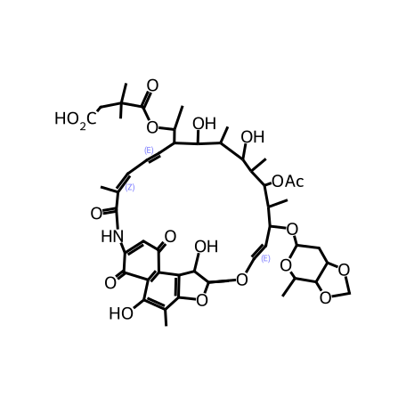 CC(=O)OC1C(C)C(OC2CC3OCOC3C(C)O2)/C=C/OC2(C)Oc3c(C)c(O)c4c(c3C2O)C(=O)C=C(NC(=O)/C(C)=C\C=C\C(C(C)OC(=O)C(C)(C)CC(=O)O)C(O)C(C)C(O)C1C)C4=O